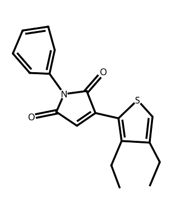 CCc1csc(C2=CC(=O)N(c3ccccc3)C2=O)c1CC